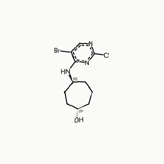 O[C@H]1CCC[C@H](Nc2nc(Cl)ncc2Br)CC1